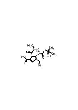 COC(=O)[C@H]1C(C(=O)O)C[C@H](CN)[C@@H]1N(C)C(=O)OC(C)(C)C